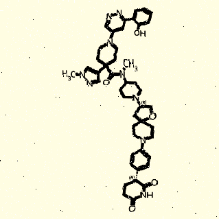 CN(C(=O)C1(c2cnn(C)c2)CCN(c2cnnc(-c3ccccc3O)c2)CC1)C1CCN([C@H]2COC3(CCN(c4ccc([C@H]5CCC(=O)NC5=O)cc4)CC3)C2)CC1